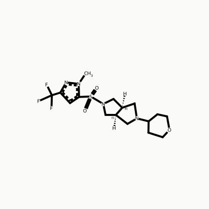 Cn1nc(C(F)(F)F)cc1S(=O)(=O)N1C[C@H]2CN(C3CCOCC3)C[C@H]2C1